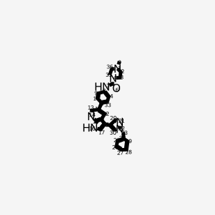 CN1CCN(C(=O)Nc2ccc(-c3cnc4[nH]cc(-c5cnn(Cc6ccccc6)c5)c4c3)cc2)CC1